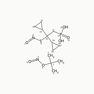 CC(C)(C)ON=O.O=NSC(CP(=O)(O)O)(C1CC1)C1CC1